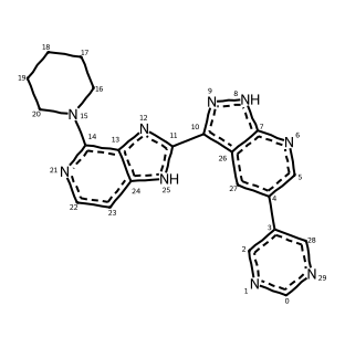 c1ncc(-c2cnc3[nH]nc(-c4nc5c(N6CCCCC6)nccc5[nH]4)c3c2)cn1